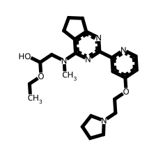 CCOC(O)CN(C)c1nc(-c2cc(OCCN3CCCC3)ccn2)nc2c1CCC2